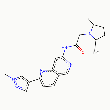 CCCC1CCC(C)N1CC(=O)Nc1cc2nc(-c3cnn(C)c3)ccc2cn1